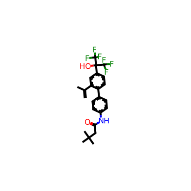 C=C(C)c1cc(C(O)(C(F)(F)F)C(F)(F)F)ccc1-c1ccc(NC(=O)CC(C)(C)C)cc1